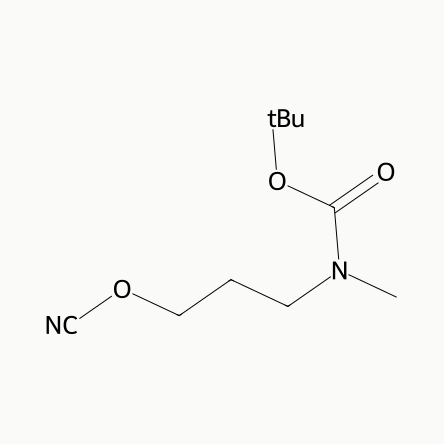 CN(CCCOC#N)C(=O)OC(C)(C)C